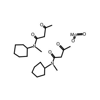 CC(=O)CC(=O)N(C)C1CCCCC1.CC(=O)CC(=O)N(C)C1CCCCC1.[O]=[Mo]=[O]